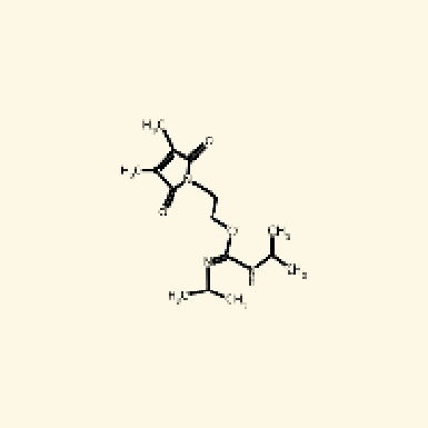 CC1=C(C)C(=O)N(CCOC(=NC(C)C)NC(C)C)C1=O